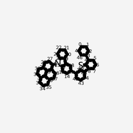 c1ccc(-c2cccc3c2sc2c(-c4ccc5c(c4)c4ccccc4n5-c4ccc5ccc6cccc7ccc4c5c67)cccc23)cc1